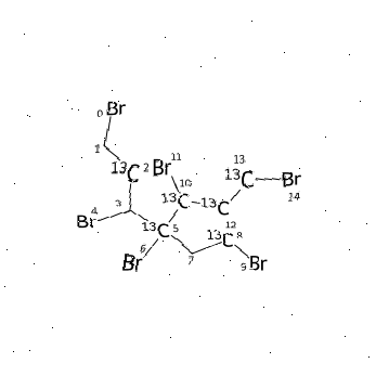 BrC[13CH2]C(Br)[13C](Br)(C[13CH2]Br)[13CH](Br)[13CH2][13CH2]Br